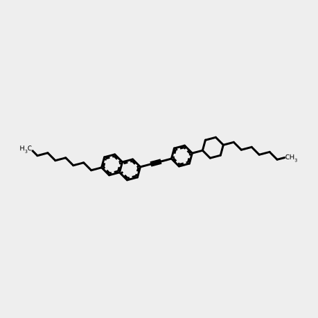 CCCCCCCCc1ccc2cc(C#Cc3ccc(C4CCC(CCCCCCC)CC4)cc3)ccc2c1